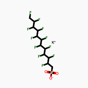 O=S(=O)([O-])CC(F)C(F)C(F)C(F)C(F)C(F)C(F)C(F)C(F)C(F)CF.[K+]